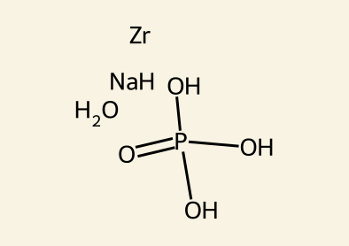 O.O=P(O)(O)O.[NaH].[Zr]